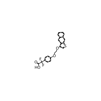 O=C(O)C(F)(F)c1ccc(OCCOc2csc3cc4ccccc4cc23)cc1